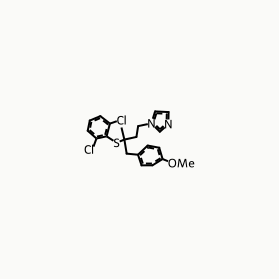 COc1ccc(CC(C)(CCn2ccnc2)Sc2c(Cl)cccc2Cl)cc1